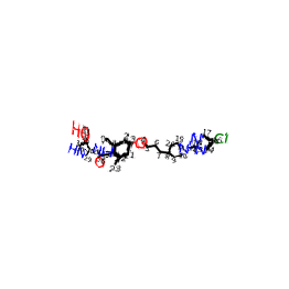 Cc1cc(OCCCC2CCN(c3ncc(Cl)cn3)CC2)cc(C)c1C(=O)N[C@@H]1CNC[C@H]1O